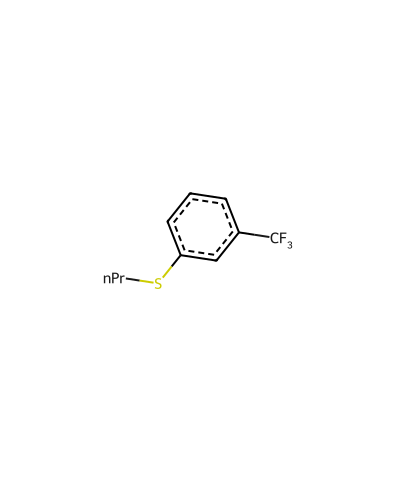 CCCSc1cccc(C(F)(F)F)c1